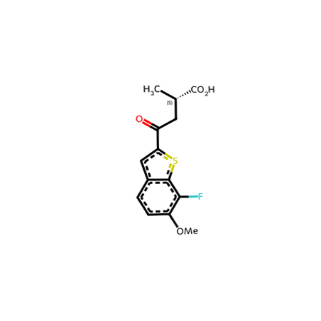 COc1ccc2cc(C(=O)C[C@H](C)C(=O)O)sc2c1F